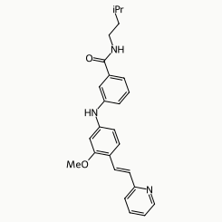 COc1cc(Nc2cccc(C(=O)NCCC(C)C)c2)ccc1/C=C/c1ccccn1